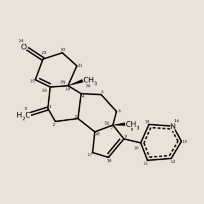 C=C1CC2C(CC[C@]3(C)C(c4cccnc4)=CCC23)[C@@]2(C)CCC(=O)C=C12